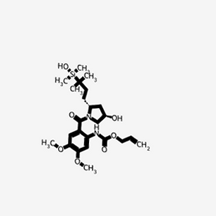 C=CCOC(=O)Nc1cc(OC)c(OC)cc1C(=O)N1C[C@H](O)C[C@H]1CCC(C)(C)[Si](C)(C)O